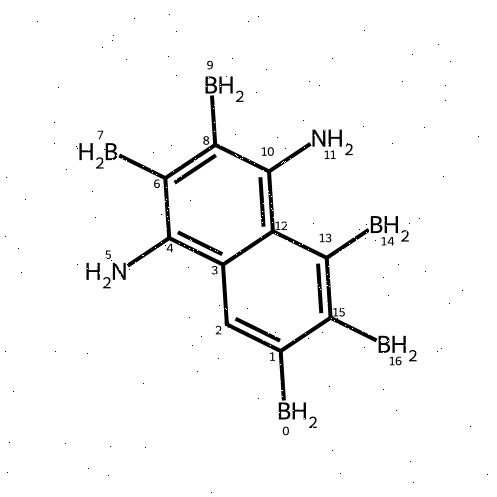 Bc1cc2c(N)c(B)c(B)c(N)c2c(B)c1B